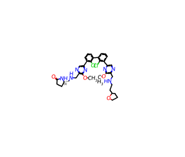 COc1nc(-c2cccc(-c3cccc(-c4cnc(CNC[C@@H]5CCC(=O)N5)c(OC)n4)c3Cl)c2Cl)cnc1CNCCC1CCCO1